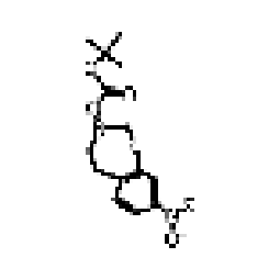 CC(C)(C)OC(=O)ON1CCc2ccc([N+](=O)[O-])cc2CC1